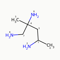 CC(N)CC(C)(N)CN